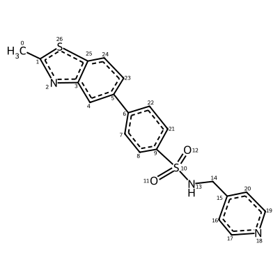 Cc1nc2cc(-c3ccc(S(=O)(=O)NCc4ccncc4)cc3)ccc2s1